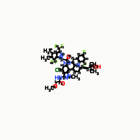 COCC(=O)Nc1nn(C)c2c(-c3ccc(C#CC(C)(C)O)nc3[C@H](Cc3cc(F)cc(F)c3)NC(=O)Cn3nc(C(F)F)c4c3C(F)(F)[C@H](C)[C@@H]4C)ccc(Cl)c12